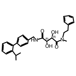 CC(C)c1ccccc1-c1ccc(CNC(=O)[C@H](O)[C@@H](O)C(=O)N(C)CCc2ccccc2)cc1